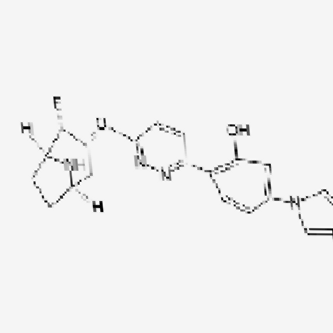 Oc1cc(-n2ccnc2)ccc1-c1ccc(O[C@@H]2C[C@H]3CC[C@H](N3)[C@@H]2F)nn1